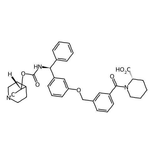 O=C(N[C@@H](c1ccccc1)c1cccc(OCc2cccc(C(=O)N3CCCC[C@H]3C(=O)O)c2)c1)O[C@H]1CN2CCC1CC2